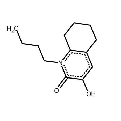 CCCCn1c2c(cc(O)c1=O)CCCC2